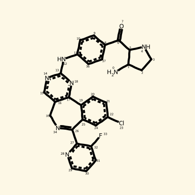 NC1CCNC1C(=O)c1ccc(Nc2ncc3c(n2)-c2ccc(Cl)cc2C(c2ncccc2F)=NC3)cc1